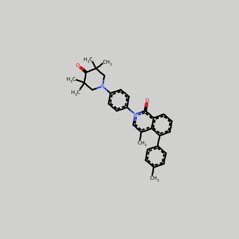 Cc1ccc(-c2cccc3c(=O)n(-c4ccc(N5CC(C)(C)C(=O)C(C)(C)C5)cc4)cc(C)c23)cc1